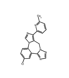 Cc1cccc(-c2ncn3c2Cn2ncnc2-c2cc(Cl)ccc2-3)n1